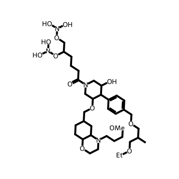 CCOCC(C)COCc1ccc(C2C(O)CN(C(=O)CCCC(CON(O)O)ON(O)O)CC2OCC2CCC3OCCN(CCCOC)C3C2)cc1